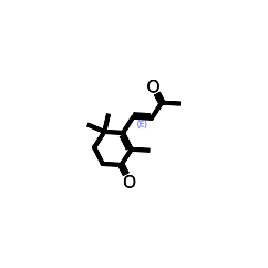 CC(=O)/C=C/C1=C(C)C(=O)CCC1(C)C